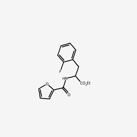 CCOC(=O)C(Cc1ccccc1F)NC(=O)c1ccco1